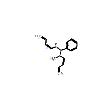 C=C/C=C\NB(c1ccccc1)N(C)/C=C\C=C